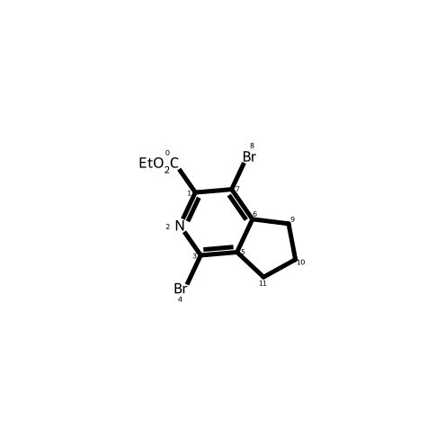 CCOC(=O)c1nc(Br)c2c(c1Br)CCC2